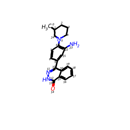 CC1CCCN(c2ccc(-c3n[nH]c(=O)c4ccccc34)cc2N)C1